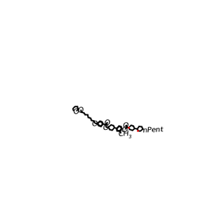 CCCCCC1CCC(C2CCC(C(=O)Oc3ccc(C4CCC(OC(=O)c5ccc(OCCCCCCCCOC6CCCCO6)cc5)CC4)cc3C)CC2)CC1